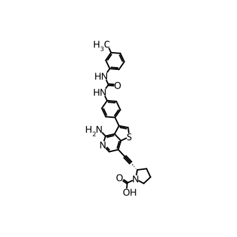 Cc1cccc(NC(=O)Nc2ccc(-c3csc4c(C#C[C@@H]5CCCN5C(=O)O)cnc(N)c34)cc2)c1